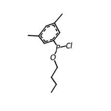 CCCCOP(Cl)c1cc(C)cc(C)c1